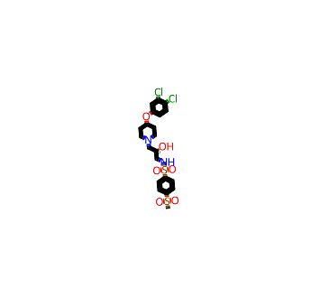 CS(=O)(=O)c1ccc(S(=O)(=O)NC[C@H](O)CN2CCC(Oc3ccc(Cl)c(Cl)c3)CC2)cc1